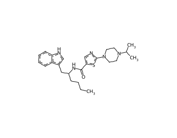 CCCCC(Cc1c[nH]c2ccccc12)NC(=O)c1cnc(N2CCN(C(C)C)CC2)s1